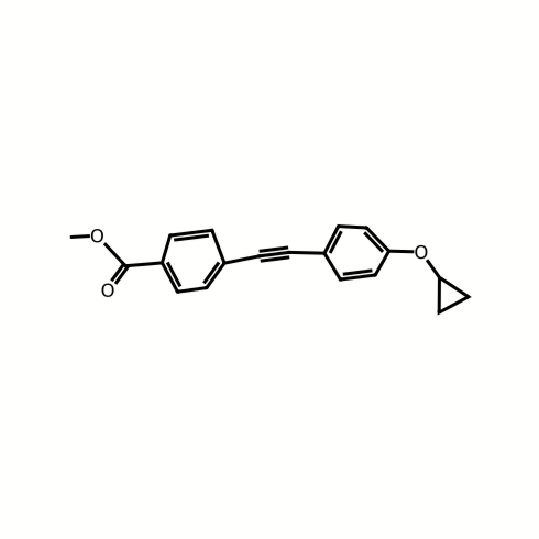 COC(=O)c1ccc(C#Cc2ccc(OC3CC3)cc2)cc1